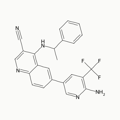 CC(Nc1c(C#N)cnc2ccc(-c3cnc(N)c(C(F)(F)F)c3)cc12)c1ccccc1